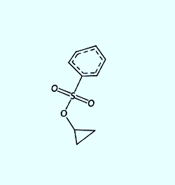 O=S(=O)(OC1CC1)c1ccccc1